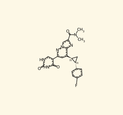 CN(C)C(=O)c1cn2nc(-c3c[nH]c(=O)[nH]c3=O)cc([C@H]3C[C@@H]3c3ccc(F)cc3)c2n1